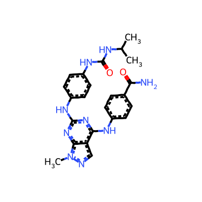 CC(C)NC(=O)Nc1ccc(Nc2nc(Nc3ccc(C(N)=O)cc3)c3cnn(C)c3n2)cc1